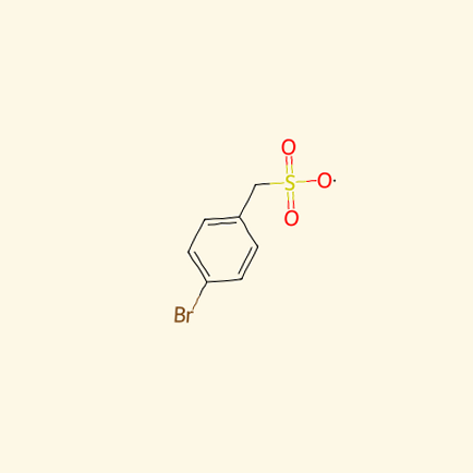 [O]S(=O)(=O)Cc1ccc(Br)cc1